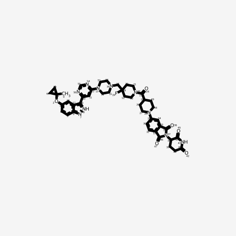 CC1(Oc2ccc3n[nH]c(-c4cc(N5CCN(CC6(F)CCN(C(=O)C7CCN(c8ccc9c(c8)C(=O)N(C8CCC(=O)NC8=O)C9=O)CC7)CC6)CC5)ncn4)c3c2)CC1